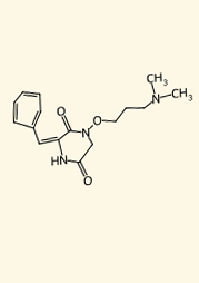 CN(C)CCCON1CC(=O)NC(=Cc2ccccc2)C1=O